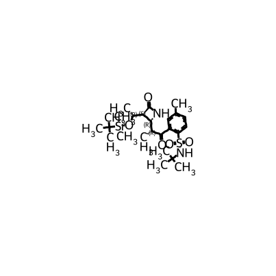 Cc1ccc(S(=O)(=O)NC(C)(C)C)c(C(=O)[C@H](C)[C@H]2NC(=O)[C@@H]2[C@@H](C)O[Si](C)(C)C(C)(C)C)c1